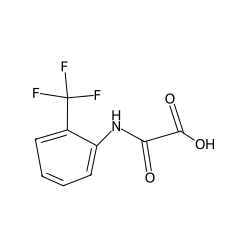 O=C(O)C(=O)Nc1ccccc1C(F)(F)F